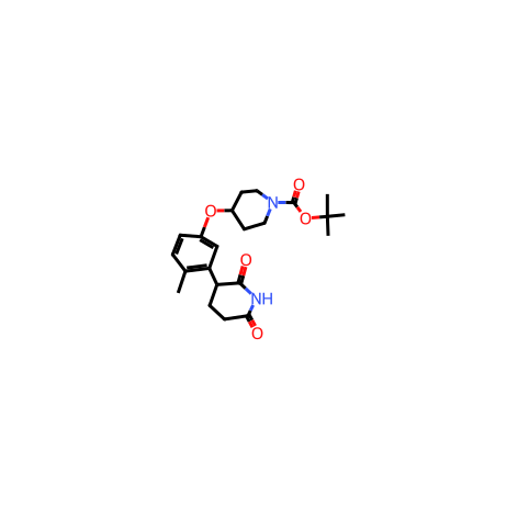 Cc1ccc(OC2CCN(C(=O)OC(C)(C)C)CC2)cc1C1CCC(=O)NC1=O